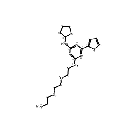 NCCOCCOCCNc1nc(NC2CCCC2)nc(-c2cccs2)n1